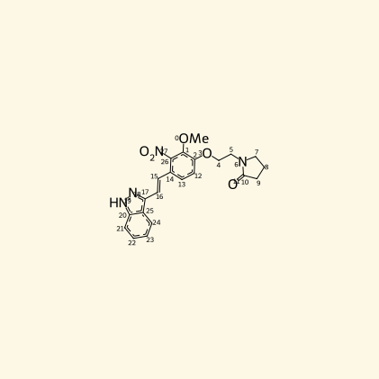 COc1c(OCCN2CCCC2=O)ccc(C=Cc2n[nH]c3ccccc23)c1[N+](=O)[O-]